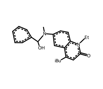 CCC(C)c1cc(=O)n(CC)c2ccc(N(C)C(O)c3ccccc3)cc12